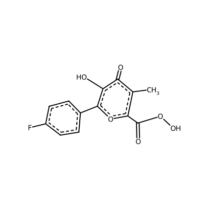 Cc1c(C(=O)OO)oc(-c2ccc(F)cc2)c(O)c1=O